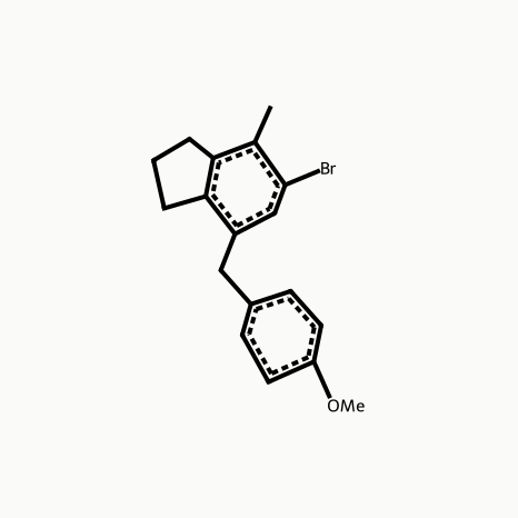 COc1ccc(Cc2cc(Br)c(C)c3c2CCC3)cc1